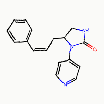 O=C1NCC(C/C=C\c2ccccc2)N1c1ccncc1